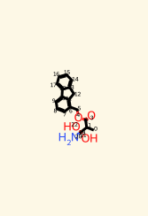 CC(C(=O)OCc1cccc2c1Cc1ccccc1-2)C(N)(O)O